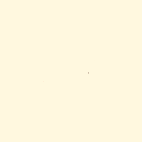 C=CCC1(C)C(=O)C(C)(C)Nc2c1cc(-c1cccc3ncccc13)c1c2CCC1